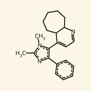 Cc1nc(-c2ccccc2)c(C2=CC=NC3CCCCCC23)n1C